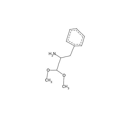 COC(OC)C(N)Cc1ccccc1